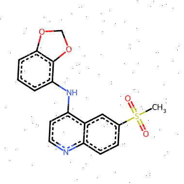 CS(=O)(=O)c1ccc2nccc(Nc3cccc4c3OCO4)c2c1